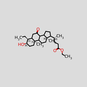 CCOC(=O)CC[C@@H](C)C1CCC2C3C(=O)CC4[C@H](CC)[C@H](O)CC[C@]4(C)C3CC[C@@]21C